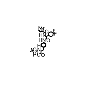 Cn1nccc1C(=O)NC(C(=O)Nc1ccc(CC(NC(=O)OC(C)(C)C)C(=O)O)cc1)C1CCC(F)(F)CC1